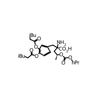 CCCOC(=O)O[C@@H](C)CC(N)(Cc1ccc(OC(=O)CC(C)CC)c(OC(=O)CC(C)CC)c1)C(=O)O